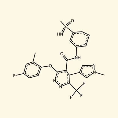 Cc1cc(F)ccc1Oc1nnc(C(F)(F)F)c(-c2cnn(C)c2)c1C(=O)Nc1cccc(S(C)(=N)=O)c1